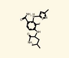 Cc1cc(Nc2c(C(N)=O)ccc(NC(CC(C)C)C(N)=O)c2F)sn1